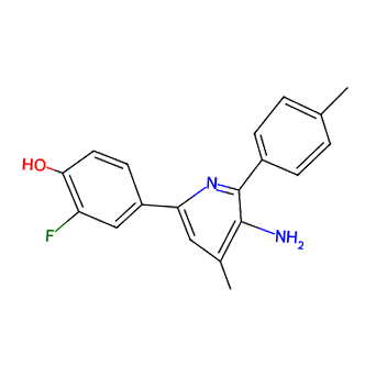 Cc1ccc(-c2nc(-c3ccc(O)c(F)c3)cc(C)c2N)cc1